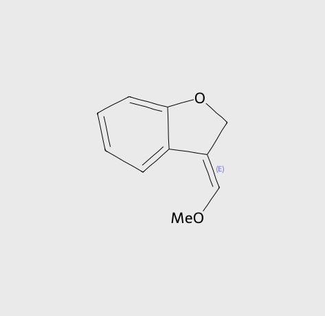 CO/C=C1/COc2ccccc21